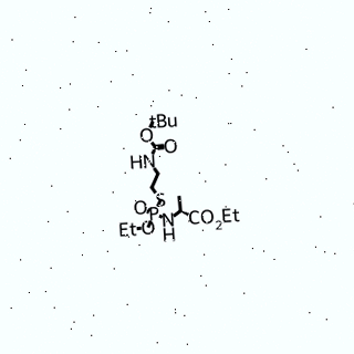 CCOC(=O)[C@H](C)NP(=O)(OCC)SCCNC(=O)OC(C)(C)C